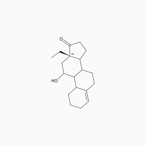 CC[C@]12CC(O)C3C4CCCC=C4CCC3C1CCC2=O